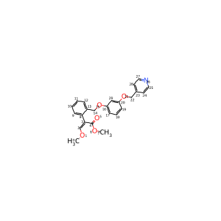 COC=C(C(=O)OC)c1ccccc1COc1cccc(OCc2ccncc2)c1